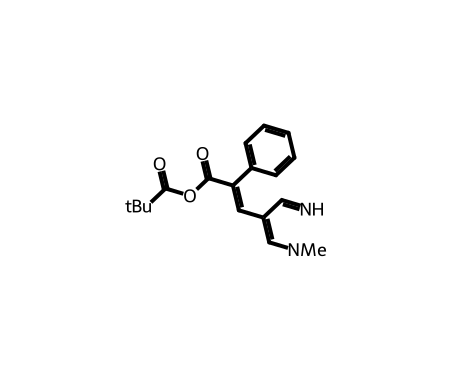 CN/C=C(C=N)/C=C(/C(=O)OC(=O)C(C)(C)C)c1ccccc1